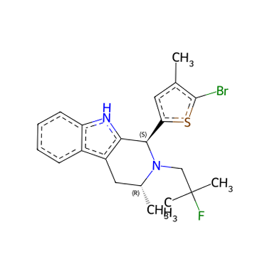 Cc1cc([C@@H]2c3[nH]c4ccccc4c3C[C@@H](C)N2CC(C)(C)F)sc1Br